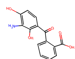 Nc1c(O)ccc(C(=O)c2ccccc2C(=O)O)c1O